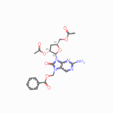 CC(=O)OC[C@@H]1C[C@@H](OC(C)=O)[C@H](n2c(=O)n(COC(=O)c3ccccc3)c3cnc(N)nc32)O1